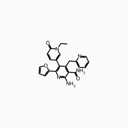 CCn1cc(-c2c(-c3ccco3)nc(N)c(C(N)=O)c2Cc2ccccn2)ccc1=O